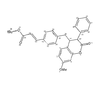 COc1ccc2c(c1)OC(=O)C(c1ccccc1)C2Cc1ccc(/C=C/C(=O)OC(C)(C)C)cc1